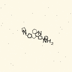 NC(=O)c1ccc2c(Cc3ccc(CN4CCCC4)cc3)c3c(nc2c1)CCCC3